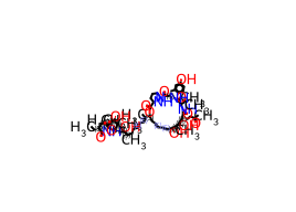 CC[C@H]1C[C@H](C)[C@@]2(NC1=O)O[C@@H](C[C@H](O)[C@@H](C)CC/C=C/C=C(\C)[C@@H]1C/C=C/C=C/[C@H](O)[C@H](C)[C@@H](O)[C@@H](CCC(C)=O)C(=O)NC(C(C)C)C(=O)N[C@@H](Cc3cccc(O)c3)C(=O)N3CCCC(N3)C(=O)O1)[C@H](C)[C@H](O)[C@@H]2C